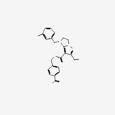 COC(=O)c1ccc([C@H](C)NC(=O)c2c(CO)nn3c2N(Cc2cccc(C(F)(F)F)c2)CC3)cc1